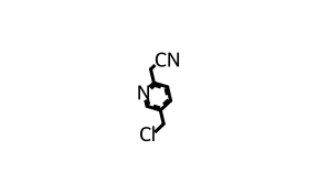 N#CCc1ccc(CCl)cn1